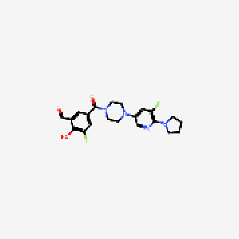 O=Cc1cc(C(=O)N2CCN(c3cnc(N4CCCC4)c(F)c3)CC2)cc(F)c1O